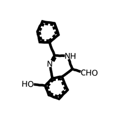 O=CC1NC(c2ccccc2)=Nc2c(O)cccc21